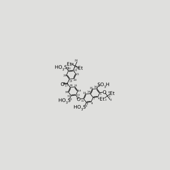 CCC(C)(CC)Oc1cc2cc(S(=O)(=O)O)c(Oc3ccc(C(=O)c4ccc(C(C)(CC)CC)c(S(=O)(=O)O)c4)cc3S(=O)(=O)O)cc2cc1S(=O)(=O)O